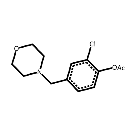 CC(=O)Oc1ccc(CN2CCOCC2)cc1Cl